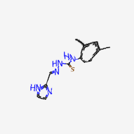 Cc1ccc(NC(=S)N/N=C/c2ncc[nH]2)c(C)c1